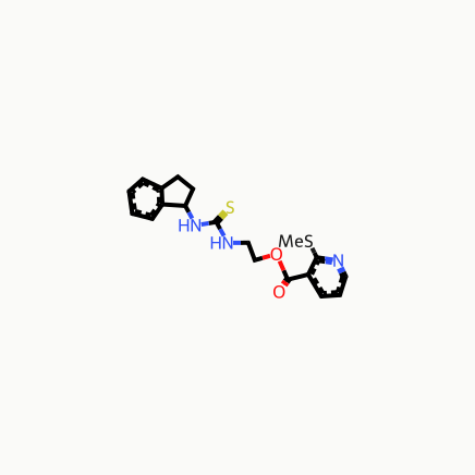 CSc1ncccc1C(=O)OCCNC(=S)NC1CCc2ccccc21